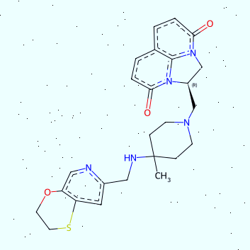 CC1(NCc2cc3c(cn2)OCCS3)CCN(C[C@@H]2Cn3c(=O)ccc4ccc(=O)n2c43)CC1